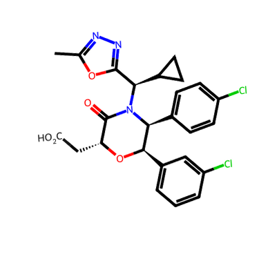 Cc1nnc([C@@H](C2CC2)N2C(=O)[C@@H](CC(=O)O)O[C@H](c3cccc(Cl)c3)[C@@H]2c2ccc(Cl)cc2)o1